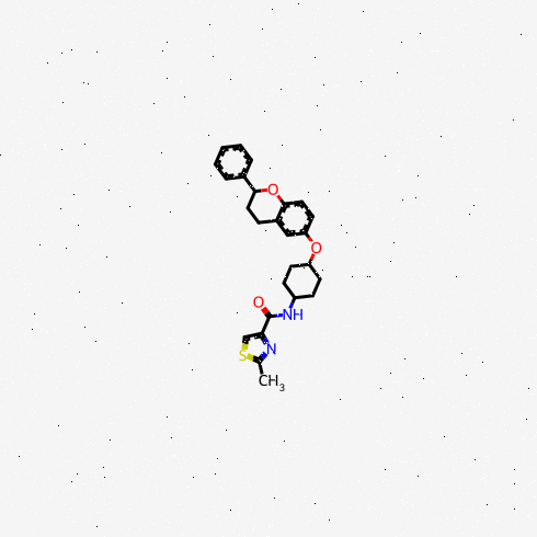 Cc1nc(C(=O)NC2CCC(Oc3ccc4c(c3)CCC(c3ccccc3)O4)CC2)cs1